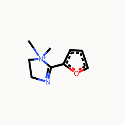 C[N+]1(C)CCN=C1c1ccco1